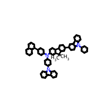 CC1(C)c2cc(-c3ccc4c(c3)c3ccccc3n4-c3ccccc3)ccc2-c2ccc(N(c3ccc(-c4cccc5ccccc45)cc3)c3ccc(-n4c5ccccc5c5ccccc54)cc3)cc21